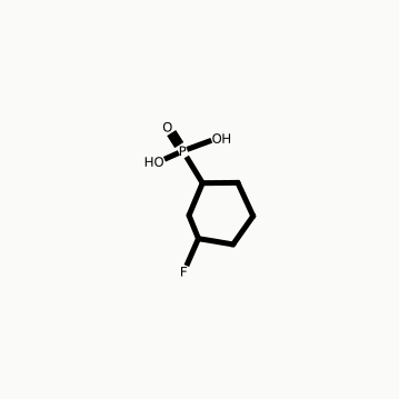 O=P(O)(O)C1CCCC(F)C1